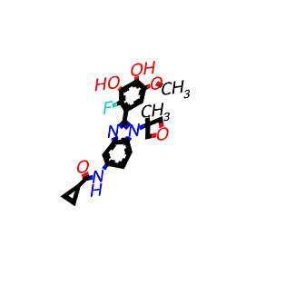 COc1cc(-c2nc3cc(NC(=O)C4CC4)ccc3n2C2(C)COC2)c(F)c(O)c1O